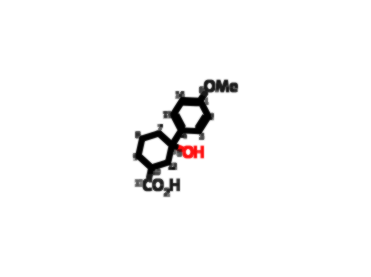 COc1ccc(C2(O)CCCC(C(=O)O)C2)cc1